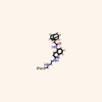 CCCC(C)CNCCNc1ccc2c(NC(=O)CC34CC5CC(CC(C5)C3)C4)cccc2n1